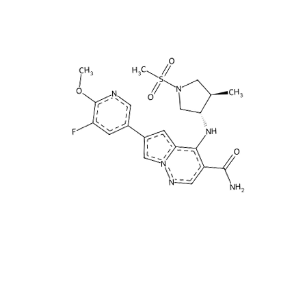 COc1ncc(-c2cc3c(N[C@@H]4CN(S(C)(=O)=O)C[C@H]4C)c(C(N)=O)cnn3c2)cc1F